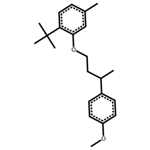 COc1ccc(C(C)CCOc2cc(C)ccc2C(C)(C)C)cc1